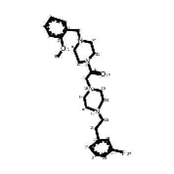 COc1ccccc1CN1CCN(C(=O)CN2CCN(CCc3cccc(F)c3)CC2)CC1